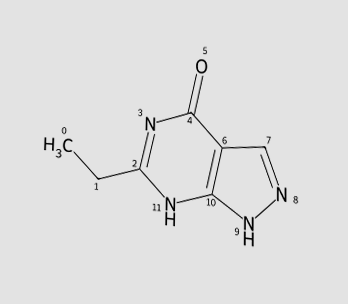 CCc1nc(=O)c2cn[nH]c2[nH]1